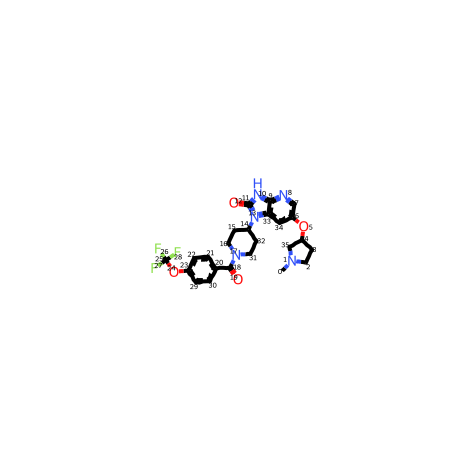 CN1CCC(Oc2cnc3[nH]c(=O)n(C4CCN(C(=O)c5ccc(OC(F)(F)F)cc5)CC4)c3c2)C1